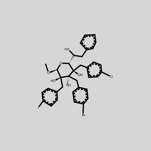 CO[C@H]1O[C@H](C(O)Cc2ccccc2)[C@](O)(Cc2ccc(Cl)cc2)[C@@](O)(Cc2ccc(Br)cc2)[C@]1(O)Cc1ccc(I)cc1